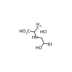 CCC(O)CNC(C)C(=O)O.Cl